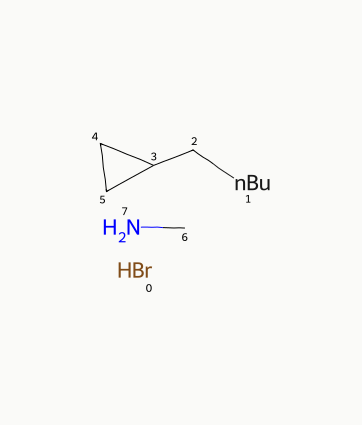 Br.CCCCCC1CC1.CN